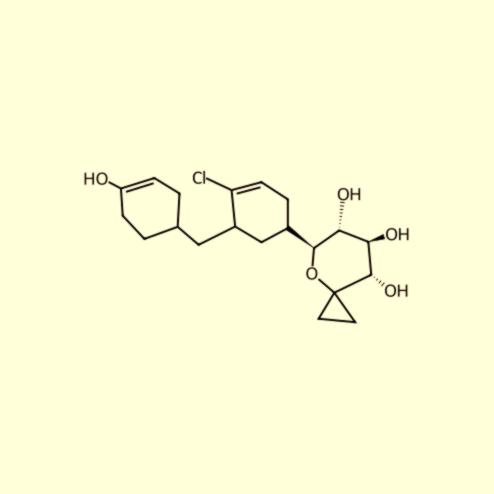 OC1=CCC(CC2CC([C@@H]3OC4(CC4)[C@@H](O)[C@H](O)[C@H]3O)CC=C2Cl)CC1